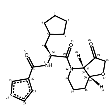 O=C(N[C@@H](CC1CCCC1)C(=O)N1CCC[C@H]2OCC(=O)[C@H]21)c1ccsc1